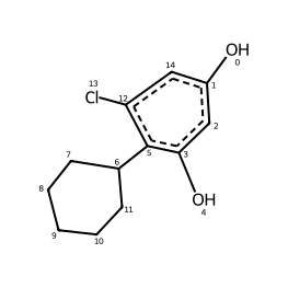 Oc1cc(O)c(C2CCCCC2)c(Cl)c1